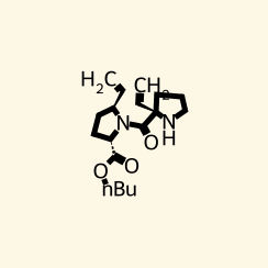 C=C[C@@H]1CC[C@@H](C(=O)OCCCC)N1C(=O)[C@]1(C=C)CCCN1